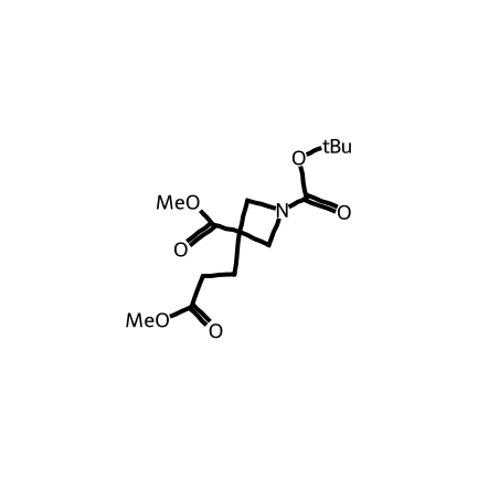 COC(=O)CCC1(C(=O)OC)CN(C(=O)OC(C)(C)C)C1